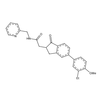 CCc1cc(-c2ccc3c(c2)CC(CC(=O)NCc2ccccn2)C3=O)ccc1OC